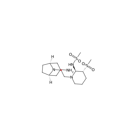 CS(=O)(=O)N[C@H]1[C@H](S(C)(=O)=O)CCCN1CCN1[C@@H]2CC[C@H]1CC(N)C2